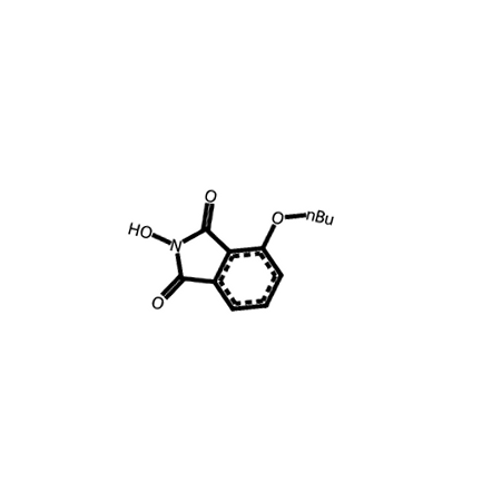 CCCCOc1cccc2c1C(=O)N(O)C2=O